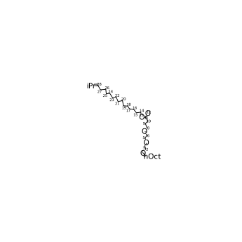 CCCCCCCCOCCOCCOCCCC(=O)OCCCCCCCCCCCCCCCC(C)C